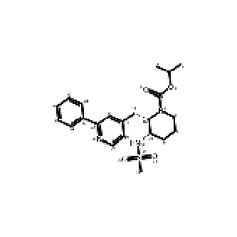 CC(C)OC(=O)N1CCC[C@H](NS(C)(=O)=O)[C@@H]1Cc1ccnc(-c2ccccc2)c1